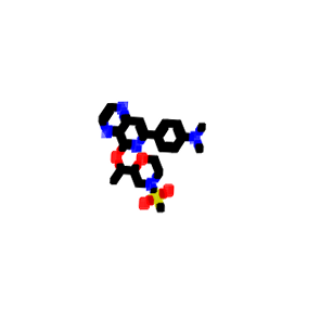 CC(Oc1nc(-c2ccc(N(C)C)cc2)cc2nccnc12)C1CN(S(C)(=O)=O)CCO1